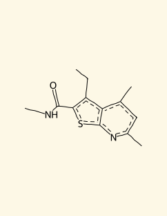 CCc1c(C(=O)NC)sc2nc(C)cc(C)c12